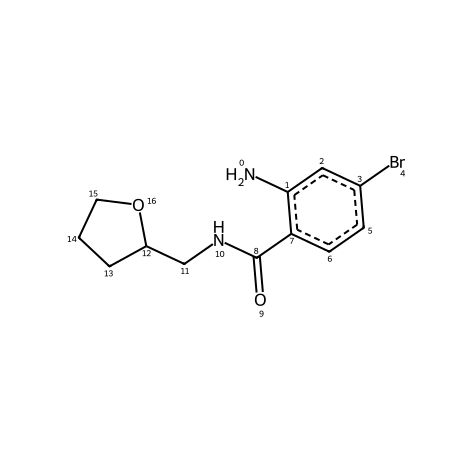 Nc1cc(Br)ccc1C(=O)NCC1CCCO1